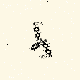 CCCCCCCCOc1ccc(-c2ccc(C(=O)ON(C(=O)c3ccc(-c4ccc(OCCCCCCCC)cc4)cc3)c3ccc(C(F)(F)P(=O)(O)OC(C)CC)cc3)cc2)cc1